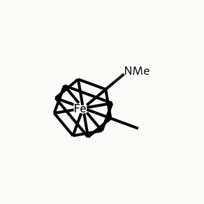 CN[C]12[CH]3[CH]4[CH]5[C]1(C)[Fe]45321678[CH]2[CH]1[CH]6[CH]7[CH]28